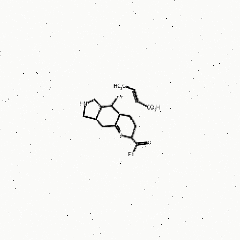 CCCC1C2CCC(C(=O)CC)N=C2CC2CNCC21.O=C(O)/C=C/C(=O)O